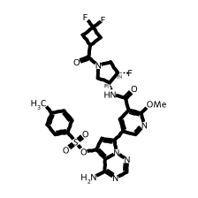 COc1ncc(-c2cc(OS(=O)(=O)c3ccc(C)cc3)c3c(N)ncnn23)cc1C(=O)N[C@@H]1CN(C(=O)C2CC(F)(F)C2)C[C@@H]1F